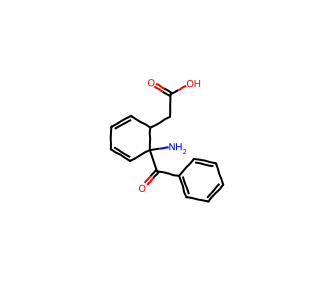 NC1(C(=O)c2ccccc2)C=CC=CC1CC(=O)O